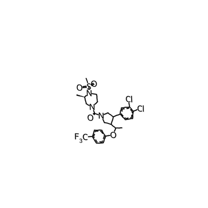 CC(Oc1ccc(C(F)(F)F)cc1)C1CN(C(=O)N2CCN(S(C)(=O)=O)[C@H](C)C2)CC1c1ccc(Cl)c(Cl)c1